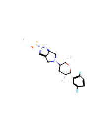 C[C@@H]1O[C@H](c2cc(F)ccc2F)[C@@H](N)CC1N1Cc2cn(S(C)(=O)=O)nc2C1